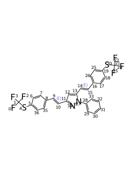 FC(F)(F)Sc1ccc(/C=C/c2cc(/C=C/c3ccc(SC(F)(F)F)cc3)n(-c3ccccc3)n2)cc1